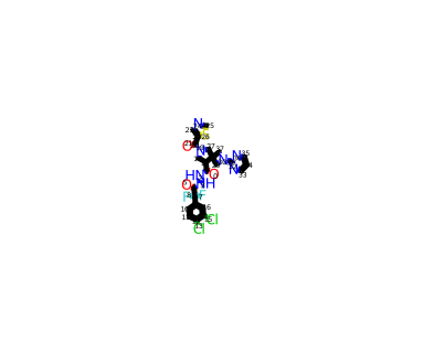 O=C(NNC(=O)C(F)(F)c1ccc(Cl)c(Cl)c1)C1CN(C(=O)c2cncs2)CC12CN(c1ncccn1)C2